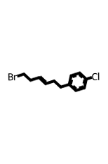 Clc1ccc(CCC=CCCBr)cc1